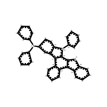 c1ccc(N(c2ccccc2)c2ccc3c(c2)c2c4ccccc4c4c5ccccc5sc4c2n3-c2ccccc2)cc1